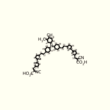 [C-]#[N+]/C(=C\c1ccc(-c2ccc(/C=C/c3ccc(N(c4ccc(/C=C/c5ccc(-c6ccc(/C=C(\C#N)C(=O)O)s6)s5)cc4)c4ccc(C)c(C)c4)cc3)s2)s1)C(=O)O